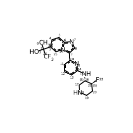 CC(O)(c1ccc2ncc(-c3cccc(N[C@H]4CNCC[C@@H]4F)n3)n2c1)C(F)(F)F